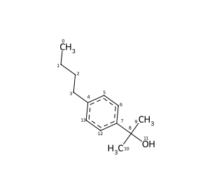 CCCCc1ccc(C(C)(C)O)cc1